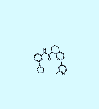 Cc1cc(-c2ccc3c(n2)C(C(=O)Nc2ccnc(N4CCCC4)c2)CCC3)ccn1